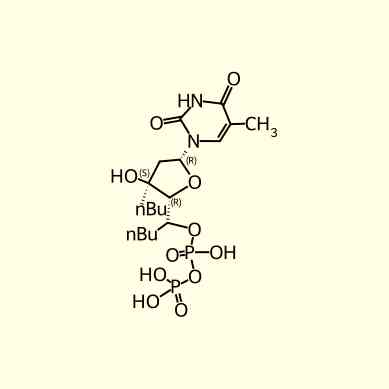 CCCCC(OP(=O)(O)OP(=O)(O)O)[C@H]1O[C@@H](n2cc(C)c(=O)[nH]c2=O)C[C@@]1(O)CCCC